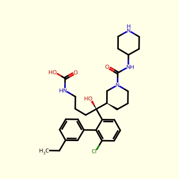 CCc1cccc(-c2c(Cl)cccc2[C@](O)(CCCNC(=O)O)[C@@H]2CCCN(C(=O)NC3CCNCC3)C2)c1